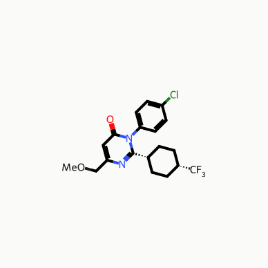 COCc1cc(=O)n(-c2ccc(Cl)cc2)c([C@H]2CC[C@@H](C(F)(F)F)CC2)n1